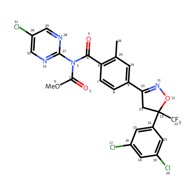 COC(=O)N(C(=O)c1ccc(C2=NOC(c3cc(Cl)cc(Cl)c3)(C(F)(F)F)C2)cc1C)c1ncc(Cl)cn1